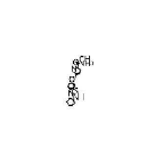 CNC(=O)c1ccc(COc2ccc3nc(NC4CCCCC4)sc3c2)cn1